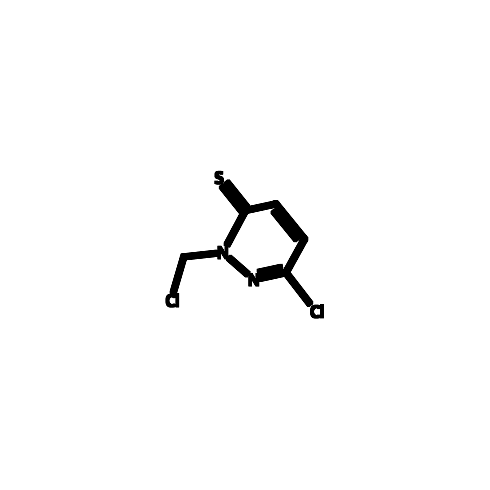 S=c1ccc(Cl)nn1CCl